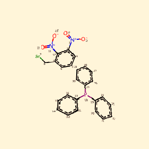 O=[N+]([O-])c1cccc(CBr)c1[N+](=O)[O-].c1ccc(P(c2ccccc2)c2ccccc2)cc1